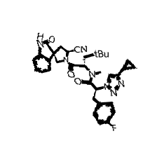 CN(C(=O)[C@H](Cc1ccc(F)cc1)n1cc(C2CC2)nn1)[C@@H](CC(C)(C)C)C(=O)N1C[C@]2(C[C@H]1C#N)C(=O)Nc1ccccc12